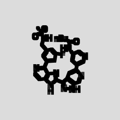 CCCCC(=O)Nc1cncc(-c2cc3c(-c4nc5c(-c6cc(F)cc(CNS(C)(=O)=O)c6)nccc5[nH]4)n[nH]c3cn2)c1